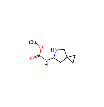 CC(C)(C)OC(=O)NC1CC2(CC2)CN1